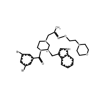 CC(CN1CCN(C(=O)c2cc(Br)cc(Br)c2)[C@H](Cc2c[nH]c3ccccc23)C1)=NOCCN1CCOCC1